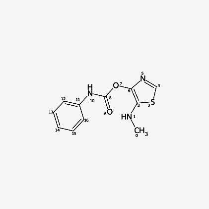 CNc1scnc1OC(=O)Nc1ccccc1